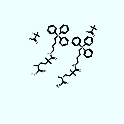 CN(CCC(C)(C)C(=O)NCCCC[P+](c1ccccc1)(c1ccccc1)c1ccccc1)C(=N)N.CN(CCC(C)(C)C(=O)NCCCC[P+](c1ccccc1)(c1ccccc1)c1ccccc1)C(=N)N.O=C([O-])C(F)(F)F.O=C([O-])C(F)(F)F